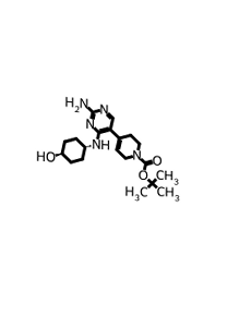 CC(C)(C)OC(=O)N1CC=C(c2cnc(N)nc2N[C@H]2CC[C@H](O)CC2)CC1